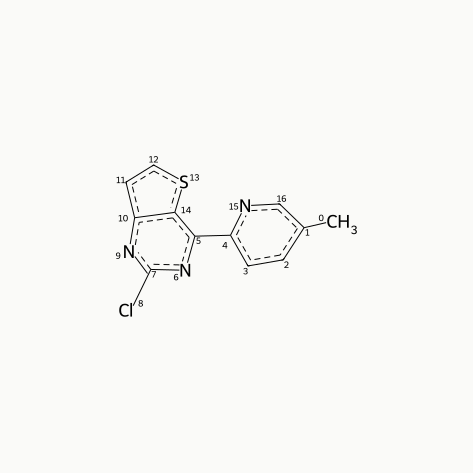 Cc1ccc(-c2nc(Cl)nc3ccsc23)nc1